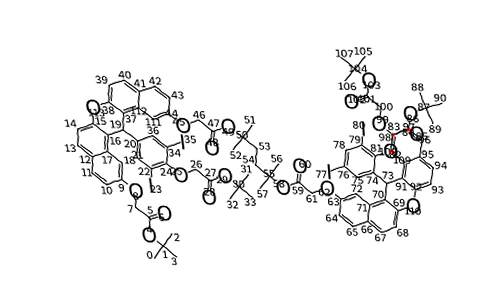 CC(C)(C)OC(=O)COc1ccc2ccc3c(c2c1)C(c1cc(I)c(OCC(=O)OC(C)(C)C)c(I)c1)c1c(ccc2ccc(OCC(=O)OC(C)(C)CCC(C)(C)OC(=O)COc4ccc5ccc6c(c5c4)C(c4cc(I)cc(I)c4OCC(=O)OC(C)(C)C)c4c(ccc5ccc(OCC(=O)OC(C)(C)C)cc45)O6)cc12)O3